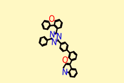 c1ccc(-c2nc(-c3ccc(-c4cccc5c4oc4cnc6ccccc6c45)cc3)nc(-c3cccc4oc5ccccc5c34)n2)cc1